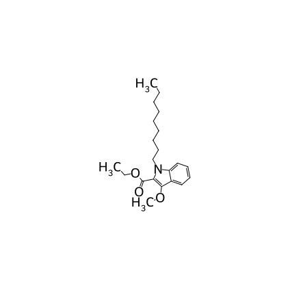 CCCCCCCCCn1c(C(=O)OCC)c(OC)c2ccccc21